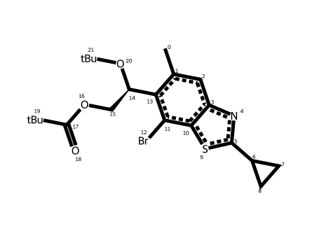 Cc1cc2nc(C3CC3)sc2c(Br)c1[C@@H](COC(=O)C(C)(C)C)OC(C)(C)C